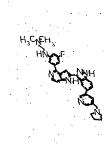 CN(C)CCNc1cc(F)cc(-c2nccc3[nH]c(-c4n[nH]c5ccc(-c6cncc(CN7CCCC7)c6)cc45)cc23)c1